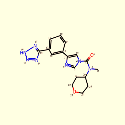 CN(C(=O)n1cnc(-c2cccc(-c3nn[nH]n3)c2)c1)C1CCOCC1